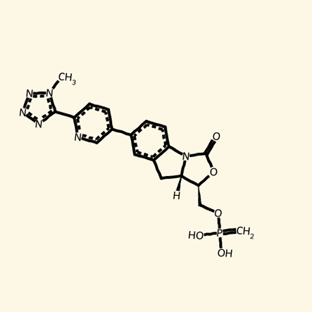 C=P(O)(O)OC[C@@H]1OC(=O)N2c3ccc(-c4ccc(-c5nnnn5C)nc4)cc3C[C@@H]12